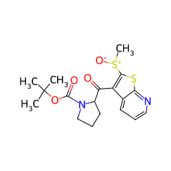 C[S+]([O-])c1sc2ncccc2c1C(=O)C1CCCN1C(=O)OC(C)(C)C